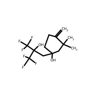 C=C1CCC(O)(CC(O)(C(F)(F)F)C(F)(F)F)CC1(C)C